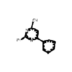 CC(C)c1nc(C#N)cc(-c2ccccc2)n1